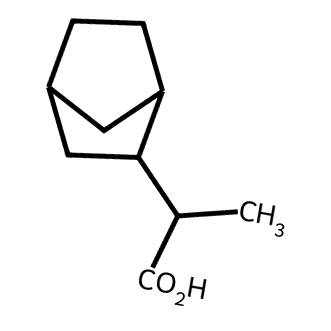 CC(C(=O)O)C1CC2CCC1C2